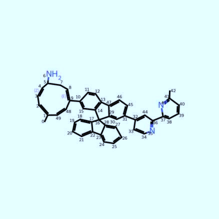 CC1=C/C=C\C(N)C/C=C(/c2ccc3c(c2)C2(c4ccccc4-c4ccccc42)c2cc(-c4ccnc(-c5cccc(C)n5)c4)ccc2-3)C=C1